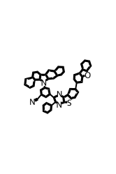 N#Cc1cc(-c2nc3c(nc2-c2ccccc2)sc2ccc(-c4ccc5c(c4)oc4ccccc45)cc23)cc(-n2c3cc4ccccc4cc3c3ccc4ccccc4c32)c1